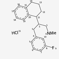 CNCC(Cc1cccc(F)c1)C1CCCc2ccccc21.Cl